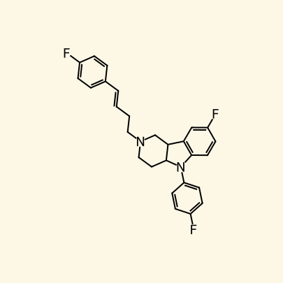 Fc1ccc(C=CCCN2CCC3C(C2)c2cc(F)ccc2N3c2ccc(F)cc2)cc1